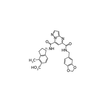 Cc1c(C(=O)O)ccc2c1CC[C@@H]2NC(=O)c1cc(C(=O)NCc2ccc3c(c2)OCO3)nc2ccnn12